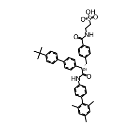 Cc1cc(C)c(-c2ccc(NC(=O)[C@@H](Cc3ccc(C(=O)NCCS(=O)(=O)O)cc3)c3ccc(-c4ccc(C(C)(C)C)cc4)cc3)cc2)c(C)c1